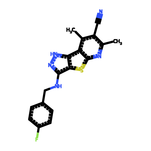 Cc1nc2sc3c(NCc4ccc(F)cc4)n[nH]c3c2c(C)c1C#N